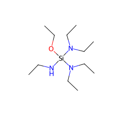 CCN[Si](OCC)(N(CC)CC)N(CC)CC